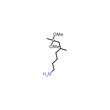 CO[Si](C)(CC(C)CCCCN)OC